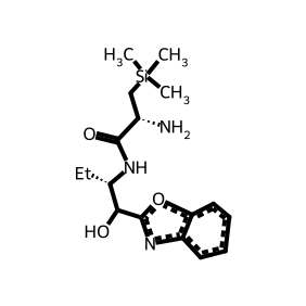 CC[C@H](NC(=O)[C@@H](N)C[Si](C)(C)C)C(O)c1nc2ccccc2o1